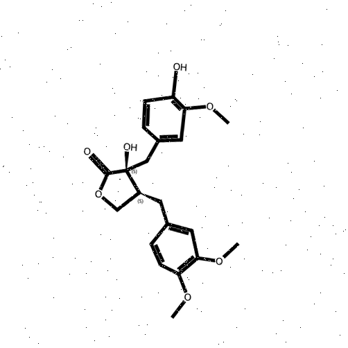 COc1cc(C[C@@]2(O)C(=O)OC[C@@H]2Cc2ccc(OC)c(OC)c2)ccc1O